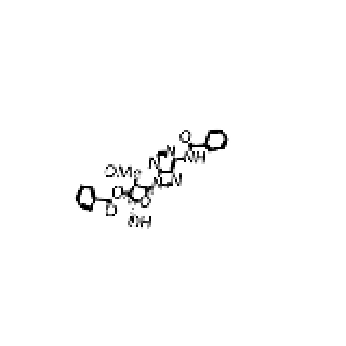 COC1[C@@H](OC(=O)c2ccccc2)[C@@H](CO)O[C@H]1n1cnc2c(NC(=O)c3ccccc3)ncnc21